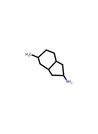 CC1CCC2CC(N)CC2C1